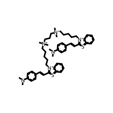 CN(C)c1ccc(/C=C/c2sc3ccccc3[n+]2CCCCC[N+](C)(C)CCC[N+](C)(C)CCCCC[n+]2c(/C=C/c3ccc(N(C)C)cc3)sc3ccccc32)cc1